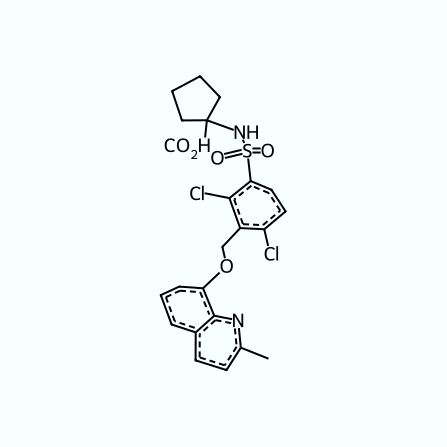 Cc1ccc2cccc(OCc3c(Cl)ccc(S(=O)(=O)NC4(C(=O)O)CCCC4)c3Cl)c2n1